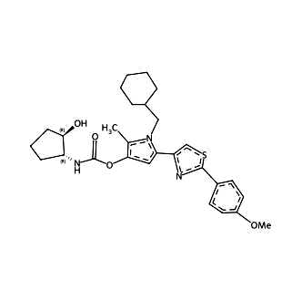 COc1ccc(-c2nc(-c3cc(OC(=O)N[C@@H]4CCC[C@H]4O)c(C)n3CC3CCCCC3)cs2)cc1